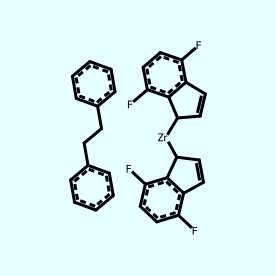 Fc1ccc(F)c2c1C=C[CH]2[Zr][CH]1C=Cc2c(F)ccc(F)c21.c1ccc(CCc2ccccc2)cc1